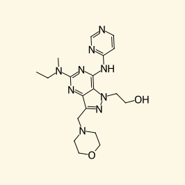 CCN(C)c1nc(Nc2ccncn2)c2c(n1)c(CN1CCOCC1)nn2CCO